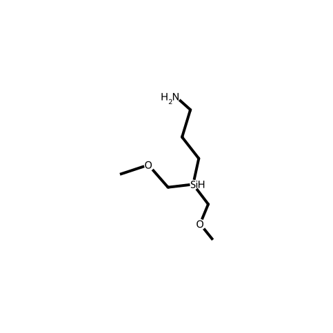 COC[SiH](CCCN)COC